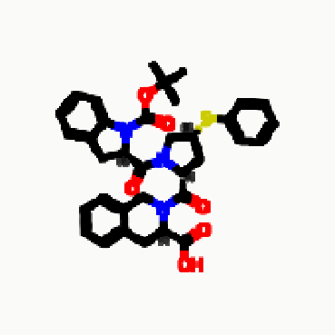 CC(C)(C)OC(=O)N1c2ccccc2C[C@@H]1C(=O)N1C[C@H](Sc2ccccc2)C[C@@H]1C(=O)N1Cc2ccccc2C[C@@H]1C(=O)O